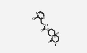 CN1CC[C@H]2CC[C@@H](C(=O)NCc3nccnc3Cl)CN2C1=O